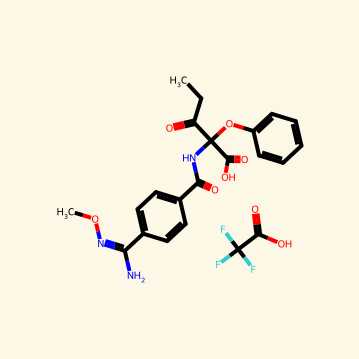 CCC(=O)C(NC(=O)c1ccc(/C(N)=N\OC)cc1)(Oc1ccccc1)C(=O)O.O=C(O)C(F)(F)F